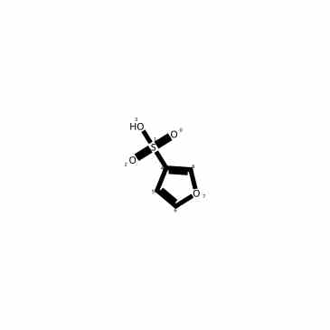 O=S(=O)(O)c1ccoc1